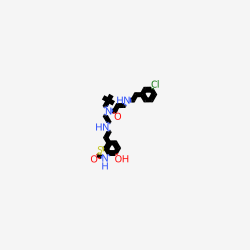 CC(C)(C)CN(CCNCCc1ccc(O)c2[nH]c(=O)sc12)C(=O)CCNCCc1cccc(Cl)c1